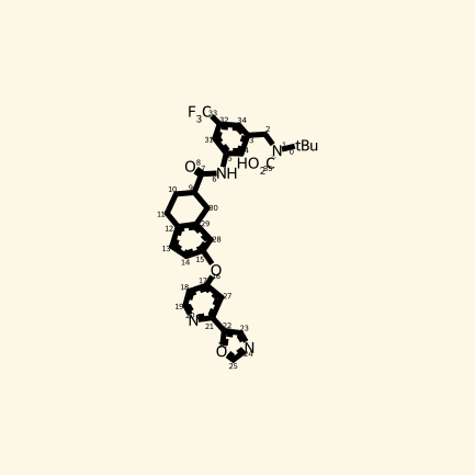 CC(C)(C)N(Cc1cc(NC(=O)C2CCc3ccc(Oc4ccnc(-c5cnco5)c4)cc3C2)cc(C(F)(F)F)c1)C(=O)O